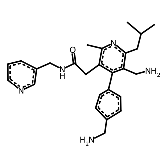 Cc1nc(CC(C)C)c(CN)c(-c2ccc(CN)cc2)c1CC(=O)NCc1cccnc1